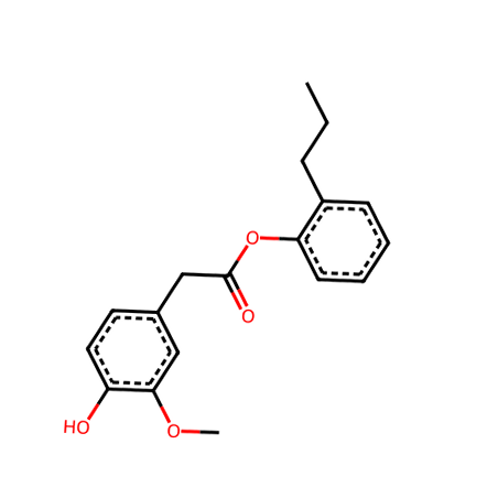 CCCc1ccccc1OC(=O)Cc1ccc(O)c(OC)c1